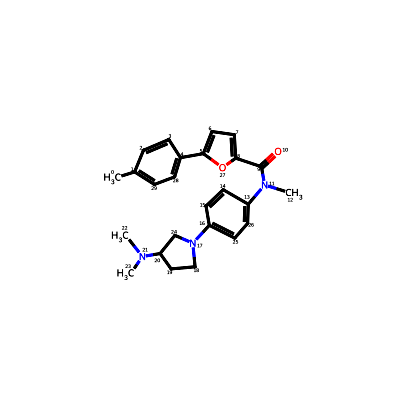 Cc1ccc(-c2ccc(C(=O)N(C)c3ccc(N4CCC(N(C)C)C4)cc3)o2)cc1